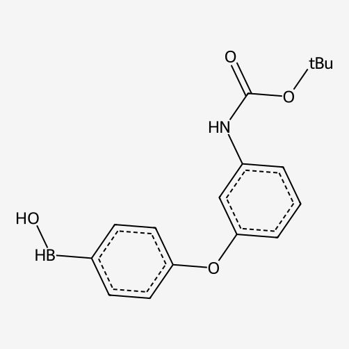 CC(C)(C)OC(=O)Nc1cccc(Oc2ccc(BO)cc2)c1